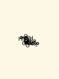 C[C@H](C(=O)NCC(=O)N[C@@H](Cc1ccccc1)C(=O)NN)N(C(=O)OC(C)(C)C)C(=O)[C@@H](N)Cc1ccc(OCc2ccccc2)cc1